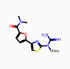 CCCCCCN(C(=N)N)c1nc(-c2ccc(C(=O)N(C)C)o2)cs1